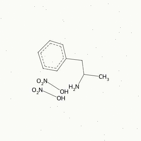 CC(N)Cc1ccccc1.O=[N+]([O-])O.O=[N+]([O-])O